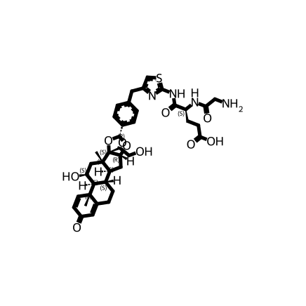 C[C@]12C=CC(=O)C=C1CC[C@@H]1[C@@H]2[C@@H](O)C[C@@]2(C)[C@H]1C[C@H]1O[C@@H](c3ccc(Cc4csc(NC(=O)[C@H](CCC(=O)O)NC(=O)CN)n4)cc3)O[C@]12C(=O)CO